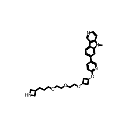 Cn1c2ccncc2c2ccc(-c3ccc(O[C@H]4C[C@H](OCCOCCOCCCC5CNC5)C4)nc3)cc21